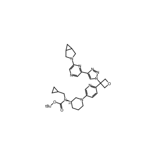 CC(C)(C)OC(=O)N(CC1CC1)[C@@H]1CCCN(c2ccc(C3(n4cc(-c5cncc(N6CC7CC7C6)n5)nn4)COC3)nc2)C1